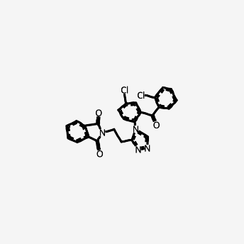 O=C(c1ccccc1Cl)c1cc(Cl)ccc1-n1cnnc1CCN1C(=O)c2ccccc2C1=O